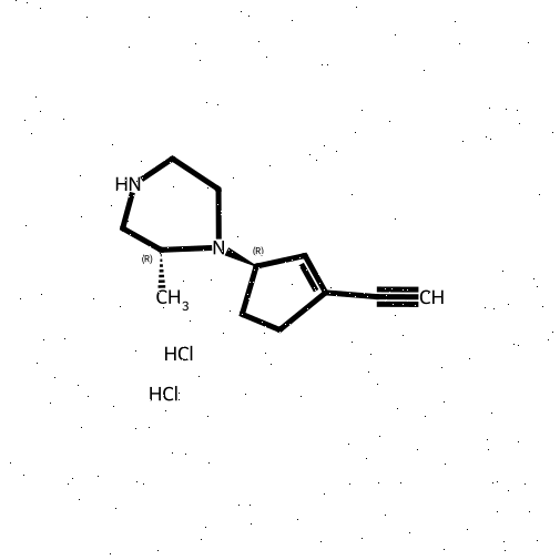 C#CC1=C[C@H](N2CCNC[C@H]2C)CC1.Cl.Cl